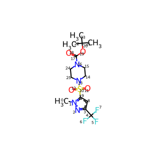 Cn1nc(C(F)(F)F)cc1S(=O)(=O)N1CCN(C(=O)OC(C)(C)C)CC1